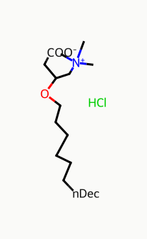 CCCCCCCCCCCCCCCCOC(CC(=O)[O-])C[N+](C)(C)C.Cl